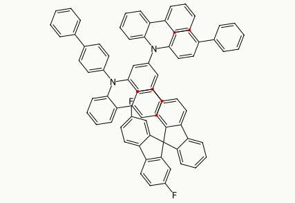 Fc1ccc2c(c1)C1(c3ccccc3-c3ccc(-c4cc(N(c5ccc(-c6ccccc6)cc5)c5ccccc5-c5ccccc5)cc(N(c5ccc(-c6ccccc6)cc5)c5ccccc5-c5ccccc5)c4)cc31)c1cc(F)ccc1-2